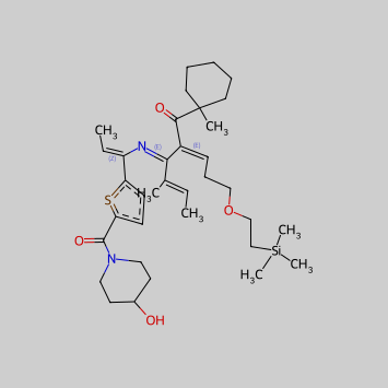 CC=C(C)C(=N\C(=C/C)c1ccc(C(=O)N2CCC(O)CC2)s1)/C(=C\CCOCC[Si](C)(C)C)C(=O)C1(C)CCCCC1